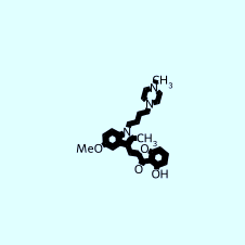 COc1ccc2c(c1)c(/C=C1\Oc3cccc(O)c3C1=O)c(C)n2CCCCN1CCN(C)CC1